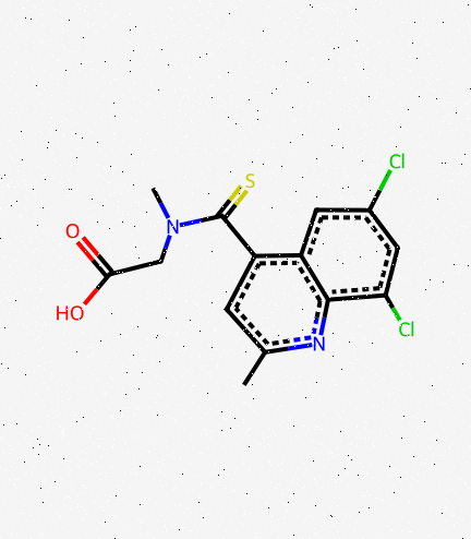 Cc1cc(C(=S)N(C)CC(=O)O)c2cc(Cl)cc(Cl)c2n1